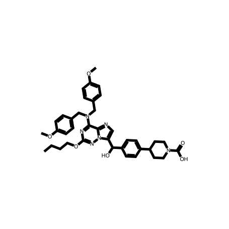 CCCCOc1nc(N(Cc2ccc(OC)cc2)Cc2ccc(OC)cc2)c2ncc(C(O)c3ccc(C4CCN(C(=O)O)CC4)cc3)n2n1